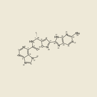 C[C@@H](NC(=O)c1ncnc2ncn(C)c12)c1cc(-c2nc3cnc(C(C)(C)C)nc3[nH]2)no1